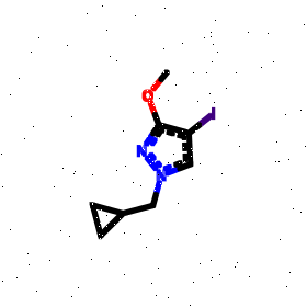 COc1nn(CC2CC2)cc1I